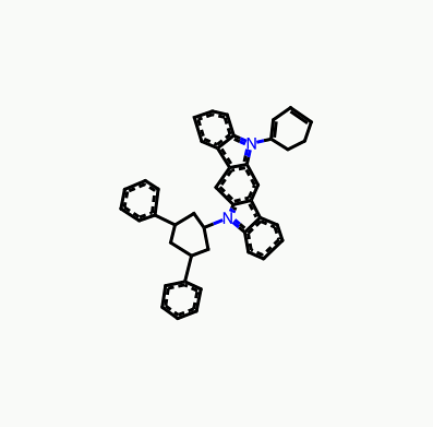 C1=CCCC(n2c3ccccc3c3cc4c(cc32)c2ccccc2n4C2CC(c3ccccc3)CC(c3ccccc3)C2)=C1